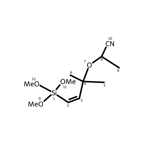 CO[Si](/C=C\C(C)(C)OC(C)C#N)(OC)OC